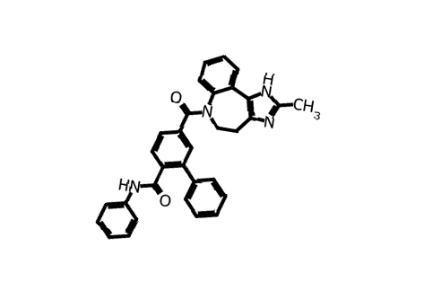 Cc1nc2c([nH]1)-c1ccccc1N(C(=O)c1ccc(C(=O)Nc3ccccc3)c(-c3ccccc3)c1)CC2